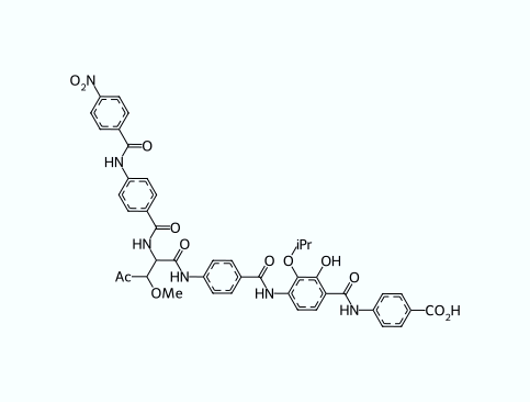 COC(C(C)=O)C(NC(=O)c1ccc(NC(=O)c2ccc([N+](=O)[O-])cc2)cc1)C(=O)Nc1ccc(C(=O)Nc2ccc(C(=O)Nc3ccc(C(=O)O)cc3)c(O)c2OC(C)C)cc1